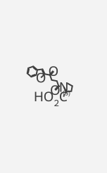 O=C(CCC(=O)N1CCC[C@H]1C(=O)O)c1cc2ccccc2o1